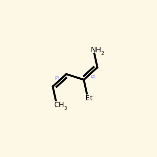 C/C=C\C(=C/N)CC